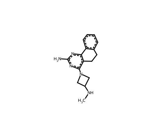 CNC1CN(c2nc(N)nc3c2CCc2ccccc2-3)C1